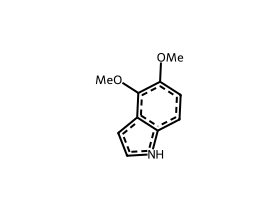 COc1ccc2[nH]ccc2c1OC